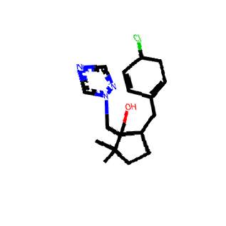 CC1(C)CCC(CC2=CCC(Cl)C=C2)C1(O)Cn1cncn1